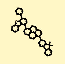 CC1(C)c2ccccc2-c2ccc(-c3ccc4ccc5c(-c6ccc(-c7ccccc7)c7oc8ccccc8c67)ccc6ccc3c4c65)cc21